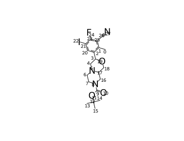 Cc1c(C2CN3CCN(C(=O)OC(C)(C)C)CC3CO2)cc(I)c(F)c1C#N